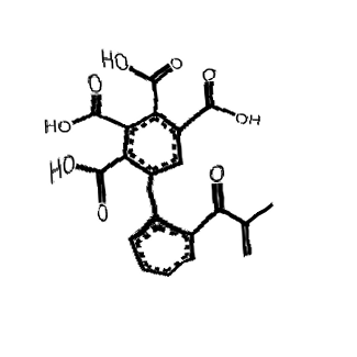 C=C(C)C(=O)c1ccccc1-c1cc(C(=O)O)c(C(=O)O)c(C(=O)O)c1C(=O)O